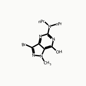 CCCN(CCC)c1nc(O)c2c(n1)c(Br)nn2C